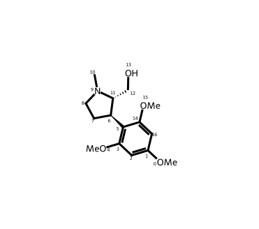 COc1cc(OC)c([C@H]2CCN(C)[C@@H]2CO)c(OC)c1